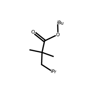 CCC(C)OC(=O)C(C)(C)CC(C)C